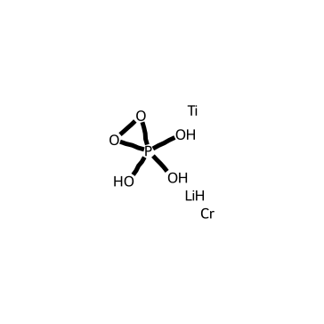 OP1(O)(O)OO1.[Cr].[LiH].[Ti]